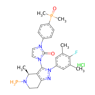 Cc1cc(-n2nc3c(c2-n2ccn(-c4ccc(P(C)(C)=O)cc4)c2=O)[C@H](C)N(P)CC3)cc(C)c1F.Cl